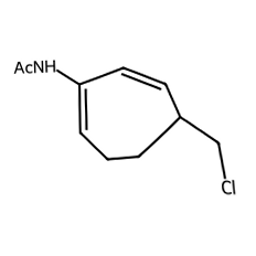 CC(=O)NC1=CCCC(CCl)C=C1